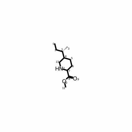 CC[C@H](C)C1CCC(C(=O)OC)NC1